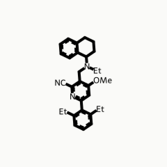 CCc1cccc(CC)c1-c1cc(OC)c(CN(CC)C2CCCc3ccccc32)c(C#N)n1